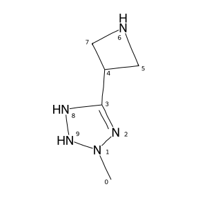 CN1N=C(C2CNC2)NN1